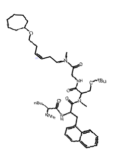 CCCCC(NC)C(=O)NC(Cc1cccc2ccccc12)C(=O)N(C)C(COC(C)(C)C)C(=O)NCC(=O)N(C)CC/C=C\CCOC1CCCCCC1